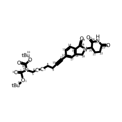 CC(C)(C)OC(=O)N(CCCCCC#Cc1ccc2c(c1)CN(C1CCC(=O)NC1=O)C2=O)C(=O)OC(C)(C)C